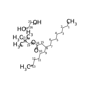 CCCCCCCCC(CCCCCC)CC(=O)OCC(C)(C)C.OCCO